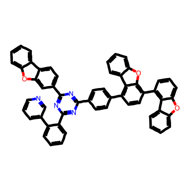 c1cncc(-c2ccccc2-c2nc(-c3ccc(-c4ccc(-c5cccc6oc7ccccc7c56)c5oc6ccccc6c45)cc3)nc(-c3ccc4c(c3)oc3ccccc34)n2)c1